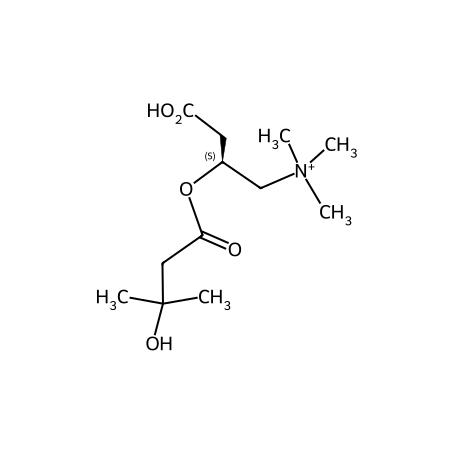 CC(C)(O)CC(=O)O[C@@H](CC(=O)O)C[N+](C)(C)C